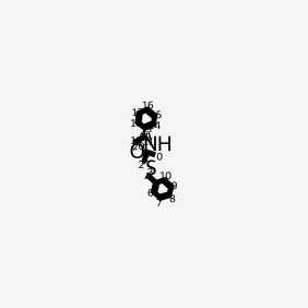 CC1(CSCc2ccccc2)N[C@H](c2ccccc2)CO1